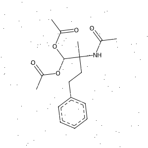 CC(=O)NC(C)(CCc1ccccc1)C(OC(C)=O)OC(C)=O